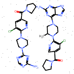 CC1CN(c2nc(N)nc3[nH]cnc23)CCN1c1ncc(C(=O)N2CCCC2)cc1Cl.Nc1ncnc(N2CCN(c3ncc(C(=O)N4CCCC4)cc3Cl)CC2)n1